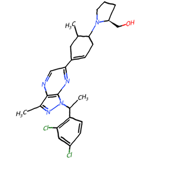 Cc1nn(C(C)c2ccc(Cl)cc2Cl)c2nc(C3=CCC(N4CCC[C@H]4CO)C(C)C3)cnc12